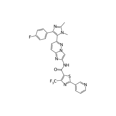 Cc1nc(-c2ccc(F)cc2)c(-c2ccc3nc(NC(=O)c4sc(-c5cccnc5)nc4C(F)(F)F)cn3n2)n1C